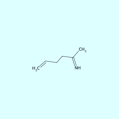 C=CCCC(C)=N